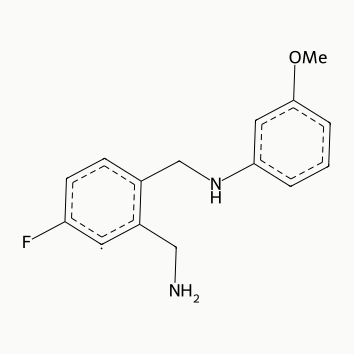 COc1cccc(NCc2ccc(F)[c]c2CN)c1